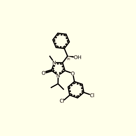 CC(C)n1c(Oc2cc(Cl)cc(Cl)c2)c([C@H](O)c2ccccc2)n(C)c1=O